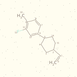 C=CC1CCC(c2ccc(C)c(F)c2)CC1